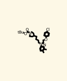 Cc1ccc2c(nc(COc3ccc(Cl)cc3)n2CCCCC2CCN(C(=O)OC(C)(C)C)CC2)c1C